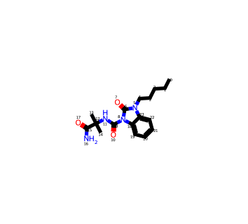 CCCCCn1c(=O)n(C(=O)NC(C)(C)C(N)=O)c2ccccc21